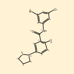 O=C(Nc1cc(Cl)cc(Br)c1)c1cc(N2CCCS2)ccc1Cl